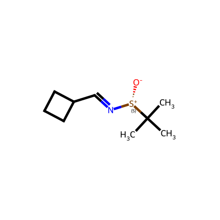 CC(C)(C)[S@@+]([O-])N=CC1CCC1